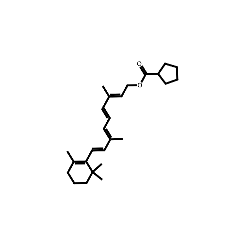 CC(C=CC1=C(C)CCCC1(C)C)=CC=CC(C)=CCOC(=O)C1CCCC1